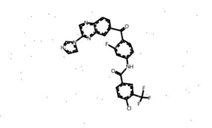 O=C(Nc1ccc(C(=O)c2ccc3ncc(-n4ccnc4)nc3c2)c(F)c1)c1ccc(Cl)c(C(F)(F)F)c1